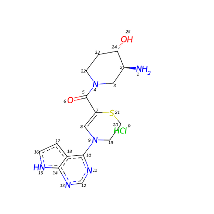 Cl.N[C@H]1CN(C(=O)C2=CN(c3ncnc4[nH]ccc34)CCS2)CC[C@@H]1O